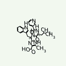 Cc1[nH]c([C@@H](Cc2c[nH]c3ccccc23)NC(=O)[C@H](CC(C)C)NC(=O)c2cccnc2)nc1C(=O)O